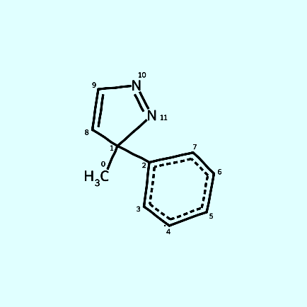 CC1(c2c[c]ccc2)C=CN=N1